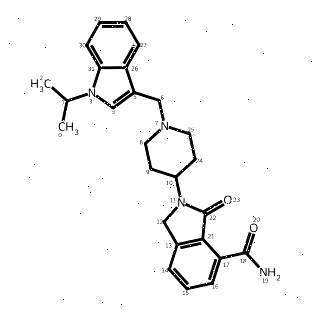 CC(C)n1cc(CN2CCC(N3Cc4cccc(C(N)=O)c4C3=O)CC2)c2ccccc21